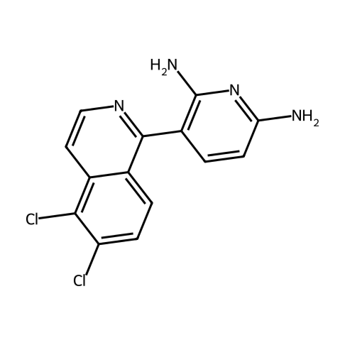 Nc1ccc(-c2nccc3c(Cl)c(Cl)ccc23)c(N)n1